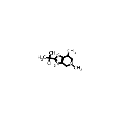 CC1CN(C)Cc2nc(C(C)(C)C)sc21